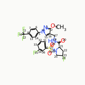 COc1nn(-c2ccc(C(F)(F)F)cc2)cc1CNC(=O)[C@H]1C[C@@H](F)CN1S(=O)(=O)c1cccc(F)c1